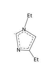 CCc1cn(CC)[c]n1